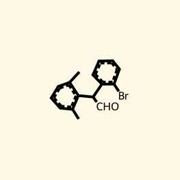 Cc1cccc(C)c1C(C=O)c1ccccc1Br